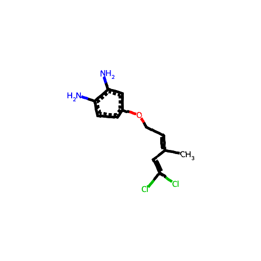 CC(C=C(Cl)Cl)=CCOc1ccc(N)c(N)c1